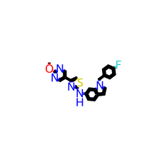 COc1ncc(-c2csc(Nc3ccc4ccn(Cc5ccc(F)cc5)c4c3)n2)cn1